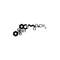 CCOC(=O)CCCN1CCc2c(cccc2NS(=O)(=O)c2ccccc2)C1